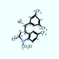 CCOC(=O)N1c2ccc(C(F)(F)F)cc2[C@@H]([C@H](C#N)c2cc(C(F)(F)F)cc(C(F)(F)F)c2)C[C@@H]1CC